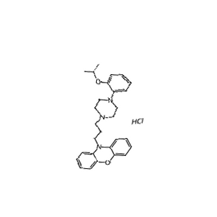 CC(C)Oc1ccccc1N1CCN(CCCN2c3ccccc3Oc3ccccc32)CC1.Cl